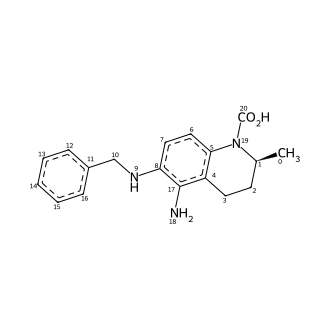 C[C@H]1CCc2c(ccc(NCc3ccccc3)c2N)N1C(=O)O